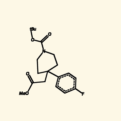 COC(=O)CC1(c2ccc(F)cc2)CCN(C(=O)OC(C)(C)C)CC1